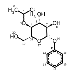 CC(C)O[C@H]1[C@H](O)[C@@H](O)[C@H](Oc2ccccc2)O[C@@H]1CO